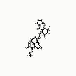 CN/C(=N\C=N)c1cc(C)nc2c(OCc3c(Cl)cc(F)cc3CN3CCCC3=O)cccc12